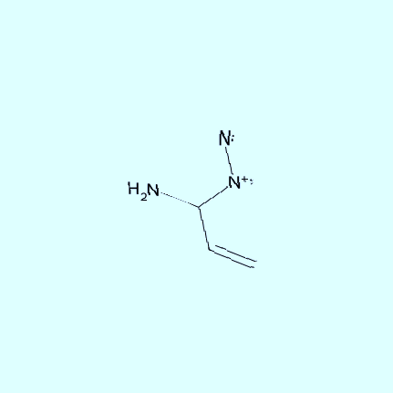 C=CC(N)[N+][N]